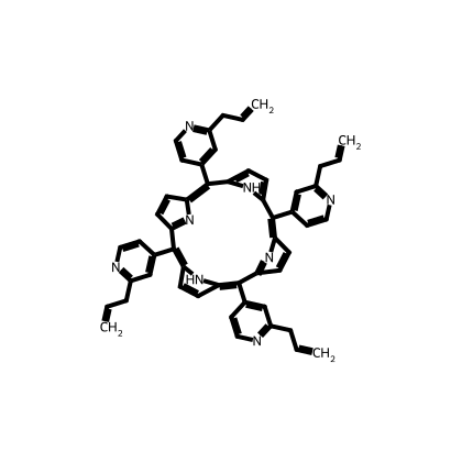 C=CCc1cc(-c2c3nc(c(-c4ccnc(CC=C)c4)c4ccc([nH]4)c(-c4ccnc(CC=C)c4)c4nc(c(-c5ccnc(CC=C)c5)c5ccc2[nH]5)C=C4)C=C3)ccn1